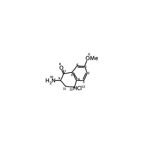 COc1ccc2c(c1)C(=O)C(N)CC2.Cl